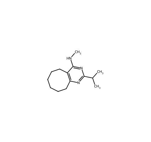 CNc1nc(C(C)C)nc2c1CCCCCC2